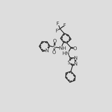 O=C(Nc1nnc(-c2ccccc2)s1)c1ccc(C(F)(F)F)cc1NS(=O)(=O)c1ccccn1